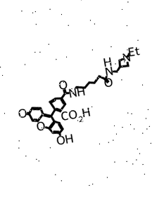 CCN1CC(CNC(=O)CCCCCNC(=O)c2ccc(-c3c4ccc(=O)cc-4oc4cc(O)ccc34)c(C(=O)O)c2)C1